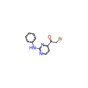 O=C(CBr)c1ccnc(Nc2ccccc2)n1